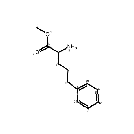 COC(=O)C(N)CCCc1ccccc1